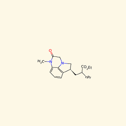 CCCC(C[C@@H]1CN2CC(=O)N(C)c3cccc1c32)C(=O)OCC